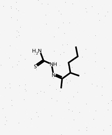 CCCC(C)/C(C)=N\NC(N)=S